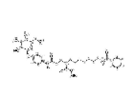 CC(C)(C)OC(=O)N(CCCCCCC[AsH]C(=O)c1ccccc1)CCC(=O)Nc1ccc(OC2OC(CO)C(O)C(O)C2O)cc1